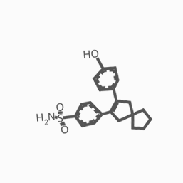 NS(=O)(=O)c1ccc(C2=C(c3ccc(O)cc3)CC3(CCCC3)C2)cc1